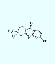 CC1(C)CCc2c(nc3cc(Br)ccn3c2=O)C1